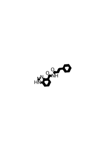 O=C(C=Cc1ccccc1)NC(=O)c1cccc2[nH]nnc12